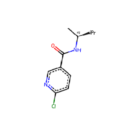 CC(C)[C@H](C)NC(=O)c1ccc(Cl)nc1